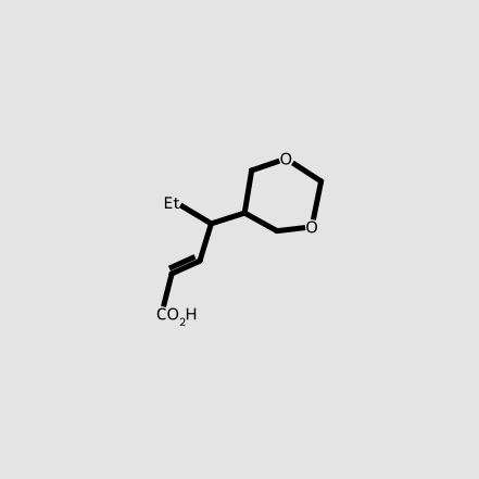 CCC(C=CC(=O)O)C1COCOC1